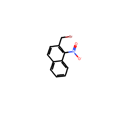 O=[N+]([O-])c1c(CBr)ccc2ccccc12